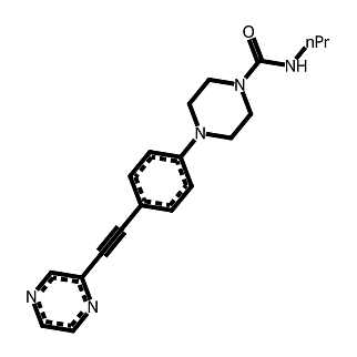 CCCNC(=O)N1CCN(c2ccc(C#Cc3cnccn3)cc2)CC1